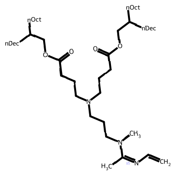 C=C/N=C(/C)N(C)CCCN(CCCC(=O)OCC(CCCCCCCC)CCCCCCCCCC)CCCC(=O)OCC(CCCCCCCC)CCCCCCCCCC